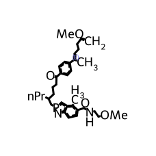 C=C(CC/C=C(\C)c1ccc(C(=O)CCCC(CCC)Cp2cc3c(C)c(C(=O)NCCOC)ccc3n2)cc1)OC